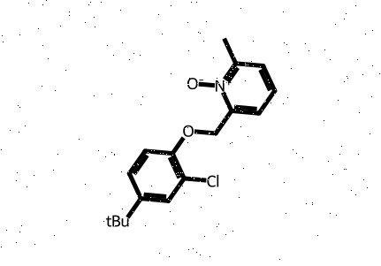 Cc1cccc(COc2ccc(C(C)(C)C)cc2Cl)[n+]1[O-]